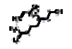 C=CCO.CC(C)=CCC/C(C)=C/CO